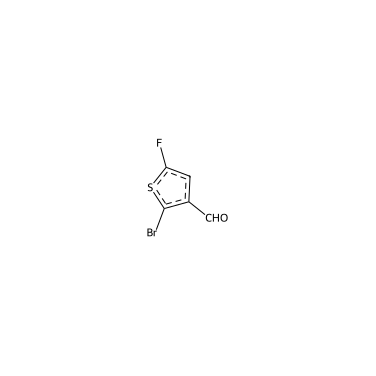 O=Cc1cc(F)sc1Br